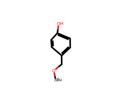 CCCCOCc1ccc(O)cc1